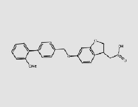 COc1ccccc1-c1ccc(COc2ccc3c(c2)OCC3CS(=O)O)cc1